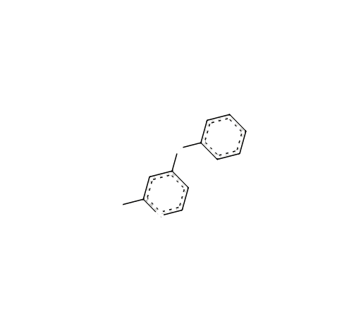 Clc1cc(Oc2ccccc2)ccn1